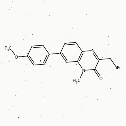 CC(C)Cc1nc2ccc(-c3ccc(OC(F)(F)F)cc3)cc2n(C)c1=O